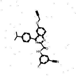 C#CCOc1ccc2nc(C(=O)Nc3cc(F)cc(C#N)c3)nc(-c3ccc(C(C)C)cc3)c2c1